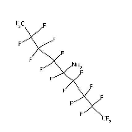 NC(F)(C(F)(F)C(F)(F)C(F)(F)C(F)(F)F)C(F)(F)C(F)(F)C(F)(F)C(F)(F)F